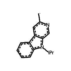 [CH2]c1cc2c3ccccc3n(C(C)C)c2cn1